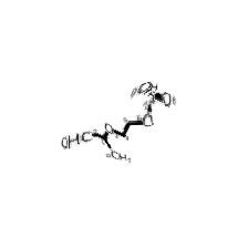 CC(C=O)OCCO[SH](=O)=O